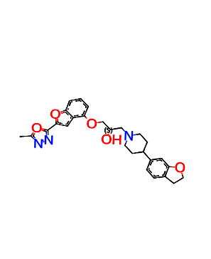 Cc1nnc(-c2cc3c(OC[C@@H](O)CN4CCC(c5ccc6c(c5)OCC6)CC4)cccc3o2)o1